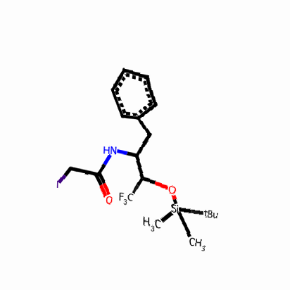 CC(C)(C)[Si](C)(C)OC(C(Cc1ccccc1)NC(=O)CI)C(F)(F)F